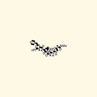 CCCC(=O)N(C)[C@H](SCCN1CCOCC1)C(=O)N(C)[C@@H](CC(C)(C)O)C(=O)NC(=O)N(C)C(=O)NC(=O)N[C@@H](C)C(=O)N(C)C(=O)NC